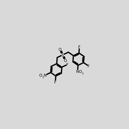 O=[N+]([O-])c1cc(CS(=O)(=O)Cc2cc([N+](=O)[O-])c(F)cc2F)c(F)cc1F